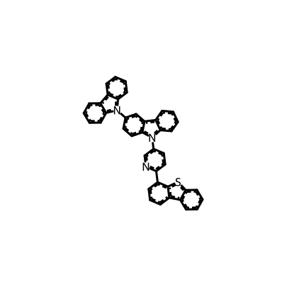 c1ccc2c(c1)sc1c(-c3ccc(-n4c5ccccc5c5cc(-n6c7ccccc7c7ccccc76)ccc54)cn3)cccc12